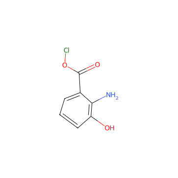 Nc1c(O)cccc1C(=O)OCl